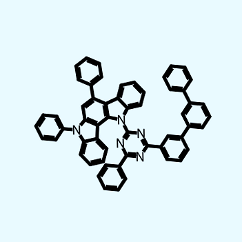 c1ccc(-c2cccc(-c3cccc(-c4nc(-c5ccccc5)nc(-n5c6ccccc6c6c(-c7ccccc7)cc7c(c8ccccc8n7-c7ccccc7)c65)n4)c3)c2)cc1